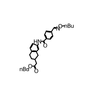 CCCCON=Cc1ccc(C(=O)Nc2ccc3c(c2)CC(CC(=O)OCCCC)CC3)cc1